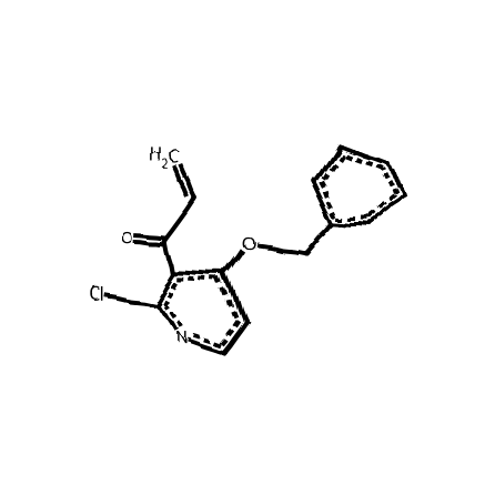 C=CC(=O)c1c(OCc2ccccc2)ccnc1Cl